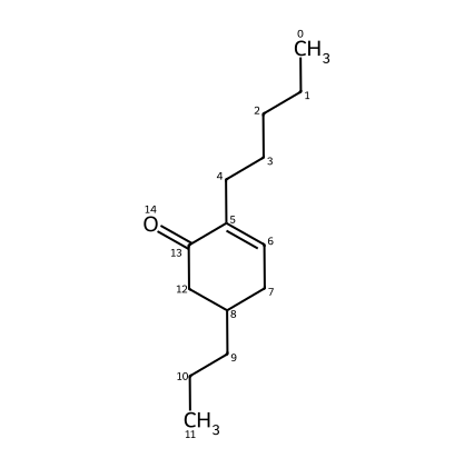 CCCCCC1=CCC(CCC)CC1=O